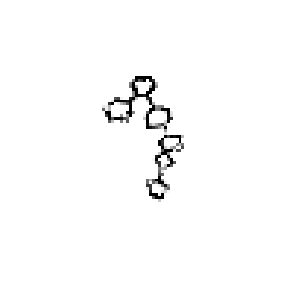 c1ccc(C2CCN([C@@H]3COC4(C3)CN(c3ncco3)C4)CC2)c(-c2cncnc2)c1